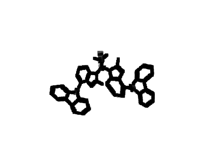 CC1=Cc2c(cccc2-n2c3ccccc3c3ccccc32)[CH]1[Zr]([CH]1C(C)=Cc2c1cccc2-n1c2ccccc2c2ccccc21)[SiH](C)C